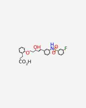 O=C(O)CCc1ccccc1OCC[C@@H](O)/C=C/c1cccc(NS(=O)(=O)c2cccc(F)c2)c1